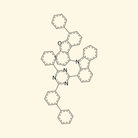 c1ccc(-c2cccc(-c3nc(-c4ccccc4)nc(-c4cccc5c6ccccc6n(-c6cccc7oc8c(-c9ccccc9)cccc8c67)c45)n3)c2)cc1